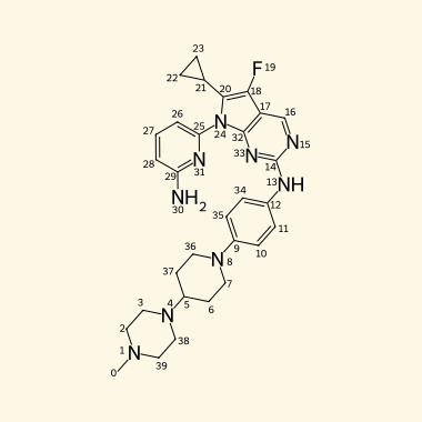 CN1CCN(C2CCN(c3ccc(Nc4ncc5c(F)c(C6CC6)n(-c6cccc(N)n6)c5n4)cc3)CC2)CC1